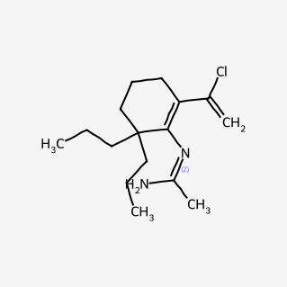 C=C(Cl)C1=C(/N=C(/C)N)C(CCC)(CCC)CCC1